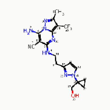 Cc1nn2c(N)c(C#N)c(NCCc3ccn(C4(CO)CC4)n3)nc2c1C(F)(F)F